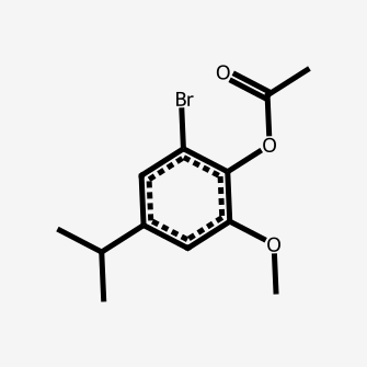 COc1cc(C(C)C)cc(Br)c1OC(C)=O